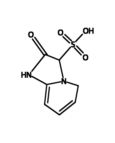 O=C1NC2=CC=CCN2C1S(=O)(=O)O